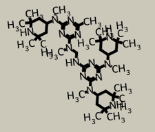 Cc1nc(N(C)CNc2nc(N(C)C3CC(C)(C)NC(C)(C)C3)nc(N(C)C3CC(C)(C)NC(C)(C)C3)n2)nc(N(C)C2CC(C)(C)NC(C)(C)C2)n1